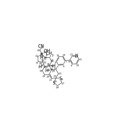 C[C@]12C[C@H](c3ccc(-c4cccnc4)cc3)[C@H]3[C@@H](CCC4=CC5(CC[C@@H]43)SCCS5)[C@@H]1CC[C@@]2(O)CC#N